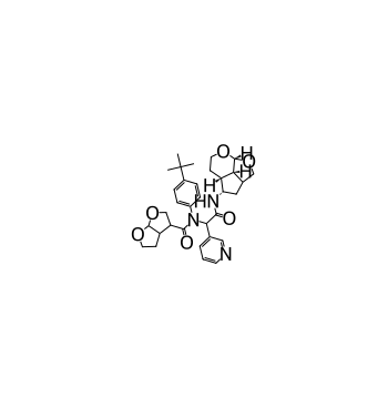 CC(C)(C)c1ccc(N(C(=O)C2COC3OCCC32)C(C(=O)N[C@H]2CC3CO[C@H]4OCC[C@@H]2[C@@H]34)c2cccnc2)cc1